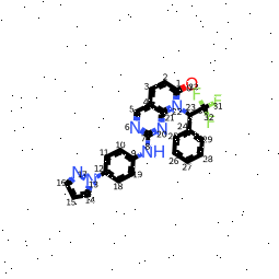 O=c1ccc2cnc(Nc3ccc(-n4cccn4)cc3)nc2n1C(c1ccccc1)C(F)(F)F